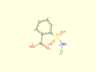 O=C(O)c1ccccc1S(=O)(=O)NCl